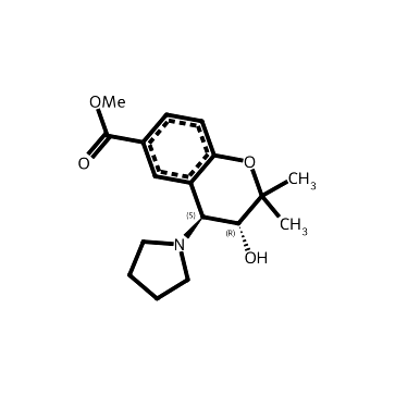 COC(=O)c1ccc2c(c1)[C@H](N1CCCC1)[C@@H](O)C(C)(C)O2